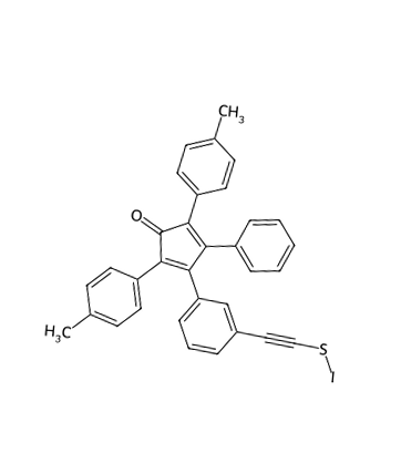 Cc1ccc(C2=C(c3ccccc3)C(c3cccc(C#CSI)c3)=C(c3ccc(C)cc3)C2=O)cc1